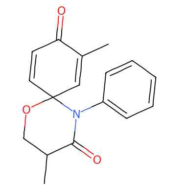 CC1=CC2(C=CC1=O)OCC(C)C(=O)N2c1ccccc1